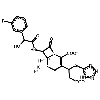 O=C([O-])CC(Sc1nnn[nH]1)C1=C(C(=O)[O-])N2C(=O)C(NC(=O)C(O)c3cccc(F)c3)[C@@H]2SC1.[K+].[K+]